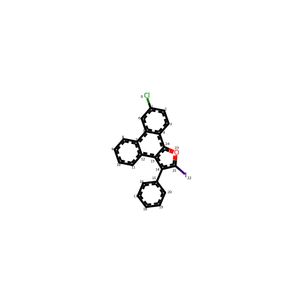 Clc1ccc2c(c1)c1ccccc1c1c(-c3ccccc3)c(I)oc21